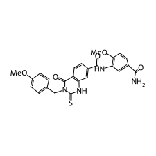 COc1ccc(Cn2c(=S)[nH]c3cc(C(=O)Nc4cc(C(N)=O)ccc4OC)ccc3c2=O)cc1